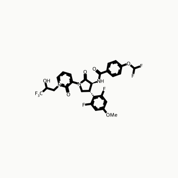 COc1cc(F)c([C@@H]2CN(c3cccn(CC(O)C(F)(F)F)c3=O)C(=O)[C@H]2NC(=O)c2ccc(OC(F)F)cc2)c(F)c1